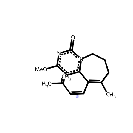 C=C(C)/C=C\C1=C(C)CCCn2c1cc(OC)nc2=O